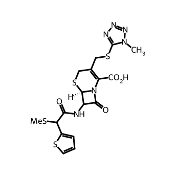 CSC(C(=O)NC1C(=O)N2C(C(=O)O)=C(CSc3nnnn3C)CS[C@H]12)c1cccs1